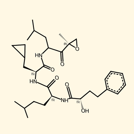 CC(C)CC[C@H](NC(=O)[C@@H](O)CCc1ccccc1)C(=O)N[C@@H](CC1CC1)C(=O)NC(CC(C)C)C(=O)[C@@]1(C)CO1